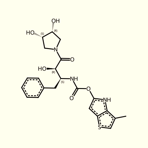 Cc1csc2cc(OC(=O)N[C@@H](Cc3ccccc3)[C@@H](O)C(=O)N3C[C@@H](O)[C@@H](O)C3)[nH]c12